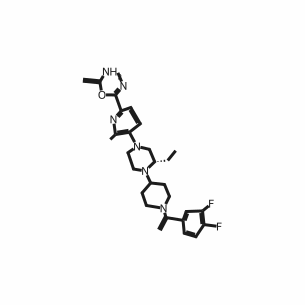 C=C(N)O/C(=N\C)c1ccc(N2CCN(C3CCN(C(=C)c4ccc(F)c(F)c4)CC3)[C@@H](CC)C2)c(C)n1